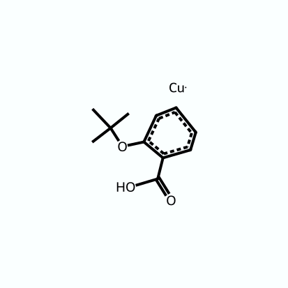 CC(C)(C)Oc1ccccc1C(=O)O.[Cu]